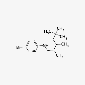 CC(CNc1ccc(Br)cc1)C(C)CC(C)(C)C